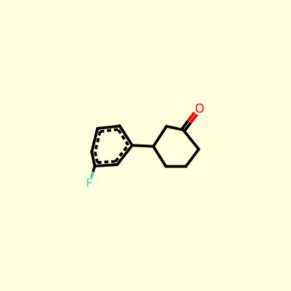 O=C1CCCC(c2cccc(F)c2)C1